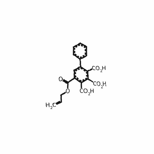 C=CCOC(=O)c1cc(-c2ccccc2)c(C(=O)O)c(C(=O)O)c1C(=O)O